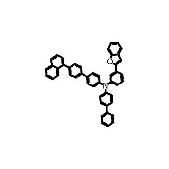 c1ccc(-c2ccc(N(c3ccc(-c4ccc(-c5cccc6ccccc56)cc4)cc3)c3cccc(-c4cc5ccccc5o4)c3)cc2)cc1